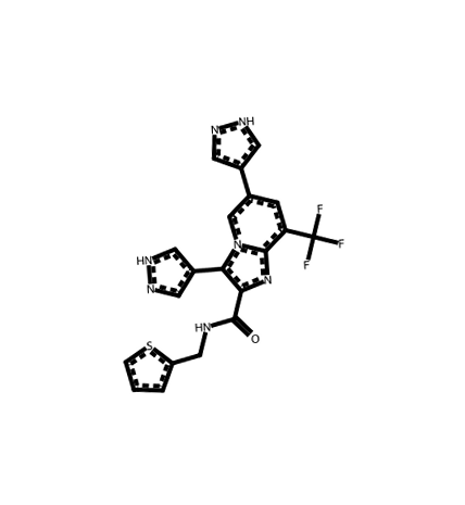 O=C(NCc1cccs1)c1nc2c(C(F)(F)F)cc(-c3cn[nH]c3)cn2c1-c1cn[nH]c1